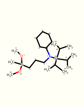 CO[Si](C)(CCCN(C1CCCCC1)[Si](C(C)C)(C(C)C)C(C)C)OC